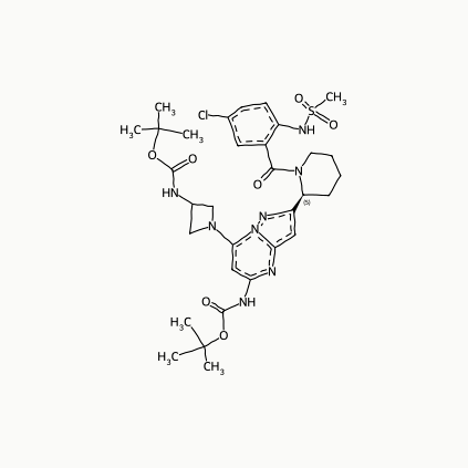 CC(C)(C)OC(=O)Nc1cc(N2CC(NC(=O)OC(C)(C)C)C2)n2nc([C@@H]3CCCCN3C(=O)c3cc(Cl)ccc3NS(C)(=O)=O)cc2n1